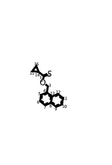 S=C(OCc1cccc2ccccc12)C1CC1